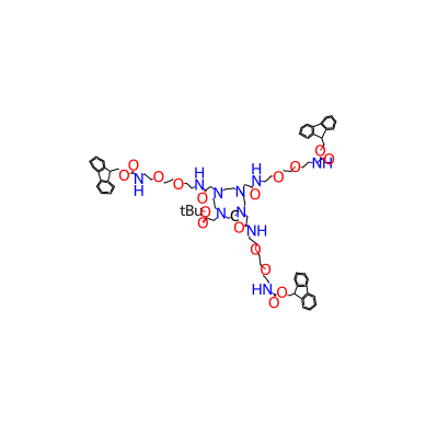 CC(C)(C)OC(=O)CN1CCN(CC(=O)NCCOCCOCCNC(=O)OCC2c3ccccc3-c3ccccc32)CCN(CC(=O)NCCOCCOCCNC(=O)OCC2c3ccccc3-c3ccccc32)CCN(CC(=O)NCCOCCOCCNC(=O)OCC2c3ccccc3-c3ccccc32)CC1